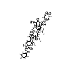 CC(C)C1=C2[C@H]3CC[C@@H]4[C@@]5(C)CC=C(C6=CC[C@](CF)(C(=O)OCc7ccccc7)CC6)C(C)(C)[C@@H]5CC[C@@]4(C)[C@]3(C)CC[C@@]2(NCCN2CCS(=O)(=O)CC2)CC1=O